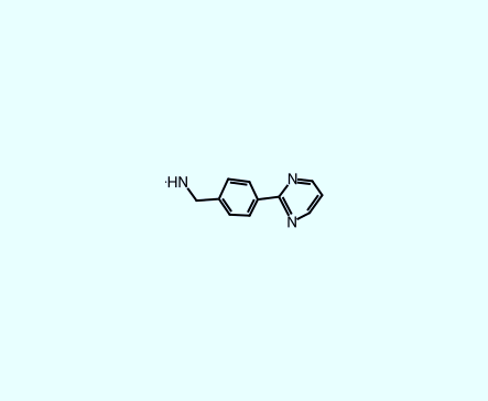 [NH]Cc1ccc(-c2ncccn2)cc1